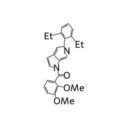 CCc1cccc(CC)c1-c1cc2ccn(C(=O)c3cccc(OC)c3OC)c2cn1